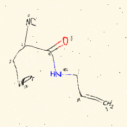 [C-]#[N+]C(CC(C)C)C(=O)NCC=C